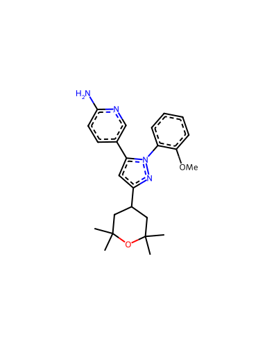 COc1ccccc1-n1nc(C2CC(C)(C)OC(C)(C)C2)cc1-c1ccc(N)nc1